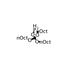 CCCCCCCCOC(OP)(OCCCCCCCC)OCCCCCCCC